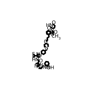 Cn1c(=O)n(C2CCC(=O)NC2=O)c2cccc(CCCOC3CCN(CC4CCC(n5cc(NC(=O)c6cnn7ccc(N[C@@H]8CCCC[C@@H]8O)nc67)c(C(F)F)n5)CC4)CC3)c21